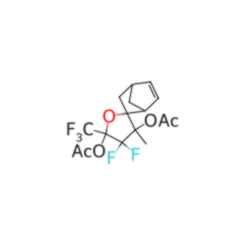 CC(=O)OC1(C)C2(CC3C=CC2C3)OC(OC(C)=O)(C(F)(F)F)C1(F)F